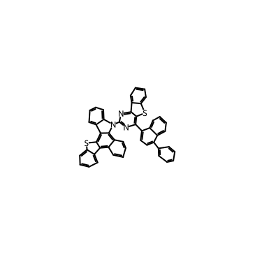 c1ccc(-c2ccc(-c3nc(-n4c5ccccc5c5c6sc7ccccc7c6c6ccccc6c54)nc4c3sc3ccccc34)c3ccccc23)cc1